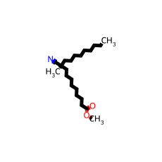 CCCCCCCCCC(C)(C#N)CCCCCCCCC(=O)OC